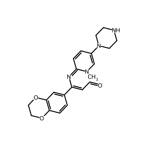 Cn1cc(N2CCNCC2)cc/c1=N/C(=C\C=O)c1ccc2c(c1)OCCO2